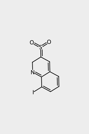 O=S(=O)=C1C=c2cccc(I)c2=NC1